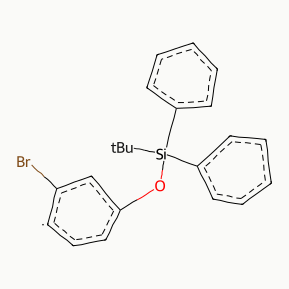 CC(C)(C)[Si](Oc1cc[c]c(Br)c1)(c1ccccc1)c1ccccc1